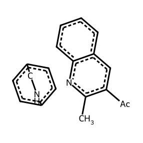 CC(=O)c1cc2ccccc2nc1C.c1cc2ccc1CN2